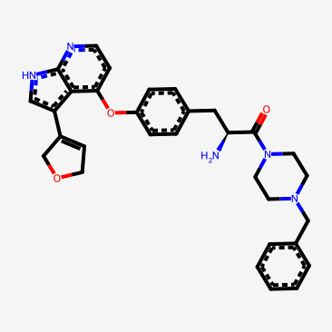 N[C@@H](Cc1ccc(Oc2ccnc3[nH]cc(C4=CCOC4)c23)cc1)C(=O)N1CCN(Cc2ccccc2)CC1